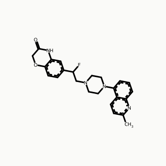 Cc1ccc2c(N3CCN(CC(F)c4ccc5c(c4)NC(=O)CO5)CC3)cccc2n1